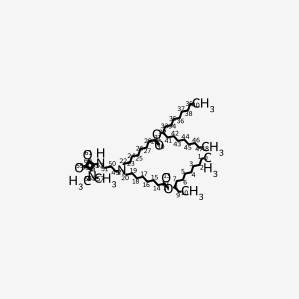 CCCCCCCCC(CC)OC(=O)CCCCCCCN(CCCCCCCC(=O)OC(CCCCCCCC)CCCCCCCC)CCCNc1c(N(C)C)c(=O)c1=O